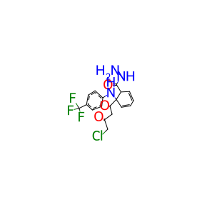 NNC(=O)C1C=CC=CC1(Nc1ccc(C(F)(F)F)cc1)C(=O)CC(=O)CCl